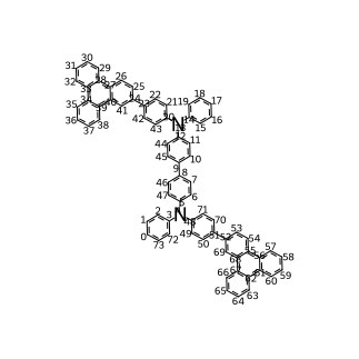 c1ccc(N(c2ccc(-c3ccc(N(c4ccccc4)c4ccc(-c5ccc6c7ccccc7c7ccccc7c6c5)cc4)cc3)cc2)c2ccc(-c3ccc4c5ccccc5c5ccccc5c4c3)cc2)cc1